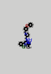 CBc1cnn2c(NCC3CCCN(Cc4ccc(Oc5ccccc5)cc4)C3)cc(-c3ccccc3Cl)nc12